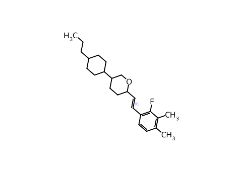 CCCC1CCC(C2CCC(/C=C/c3ccc(C)c(C)c3F)OC2)CC1